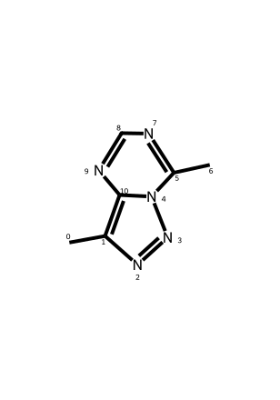 Cc1nnn2c(C)ncnc12